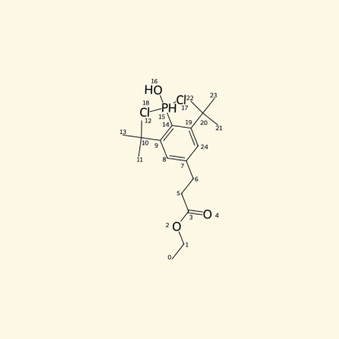 CCOC(=O)CCc1cc(C(C)(C)C)c([PH](O)(Cl)Cl)c(C(C)(C)C)c1